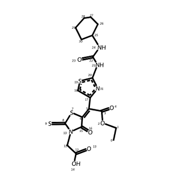 CCOC(=O)/C(=C1/SC(=S)N(CC(=O)O)C1=O)c1csc(NC(=O)NC2CCCCC2)n1